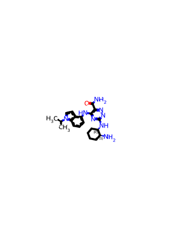 CC(C)n1ccc2c(Nc3nc(N[C@@H]4CCCC[C@@H]4N)nnc3C(N)=O)cccc21